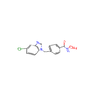 O=C(NO)c1ccc(Cn2cnc3cc(Cl)ccc32)cc1